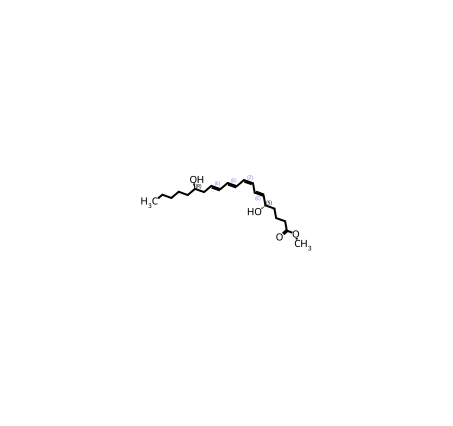 CCCCC[C@@H](O)C/C=C/C=C/C=C\C=C\[C@@H](O)CCCC(=O)OC